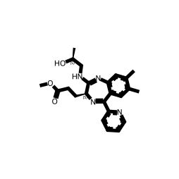 COC(=O)CC[C@@H]1N=C(c2ccccn2)c2cc(C)c(C)cc2N=C1NC[C@H](C)O